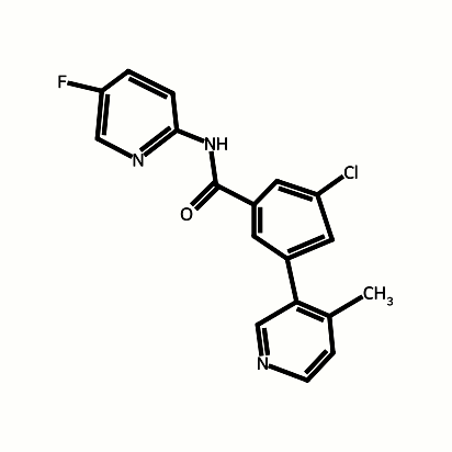 Cc1ccncc1-c1cc(Cl)cc(C(=O)Nc2ccc(F)cn2)c1